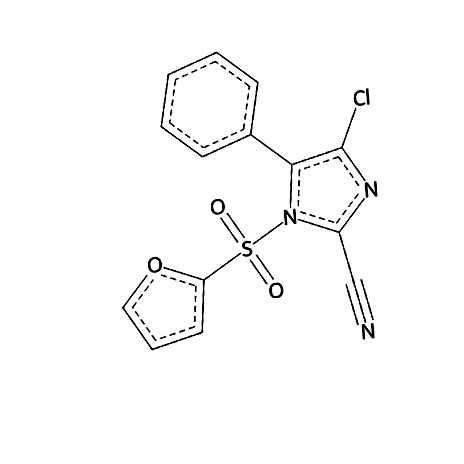 N#Cc1nc(Cl)c(-c2ccccc2)n1S(=O)(=O)c1ccco1